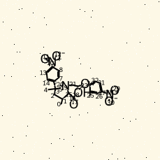 CC(CC(C)(C)c1ccc([N+](=O)[O-])cc1)C(C(=O)O)N(C)CCOc1ccc([N+](=O)[O-])cc1